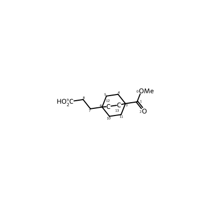 COC(=O)C12CCC(CCC(=O)O)(CC1)CC2